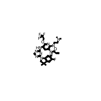 C=CC(=O)Nc1cc(Nc2ncnc(N3CC(C)(C)c4cc(F)c(F)cc43)n2)c(OCC(F)(F)F)nc1N(C)CCN(C)C